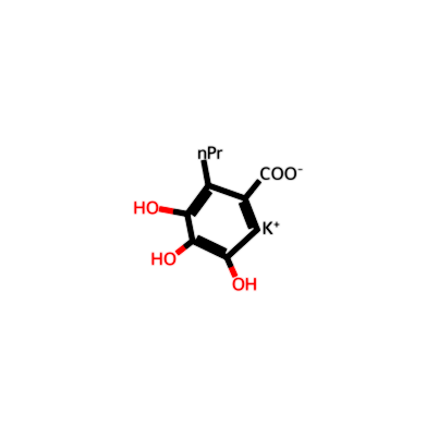 CCCc1c(C(=O)[O-])cc(O)c(O)c1O.[K+]